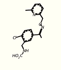 C/C(=N/OCc1cccc(C)n1)c1ccc(Cl)c(CNC(=O)O)c1